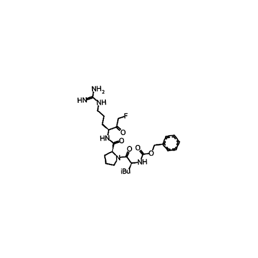 CCC(C)[C@H](NC(=O)OCc1ccccc1)C(=O)N1CCC[C@H]1C(=O)N[C@@H](CCCNC(=N)N)C(=O)CF